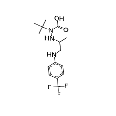 CC(CNc1ccc(C(F)(F)F)cc1)NN(C(=O)O)C(C)(C)C